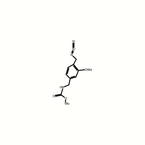 COc1cc(CNC(=O)OC(C)(C)C)ccc1CN=[N+]=[N-]